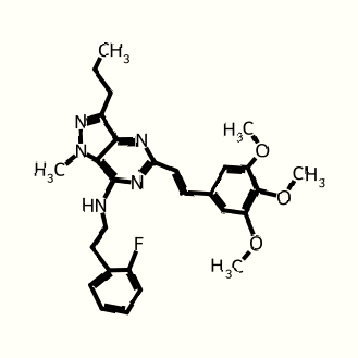 CCCc1nn(C)c2c(NCCc3ccccc3F)nc(C=Cc3cc(OC)c(OC)c(OC)c3)nc12